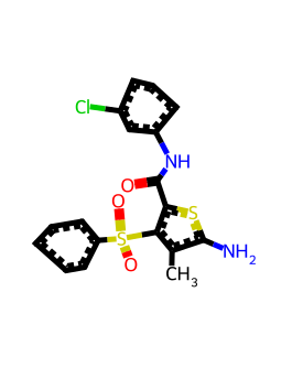 Cc1c(N)sc(C(=O)Nc2cccc(Cl)c2)c1S(=O)(=O)c1ccccc1